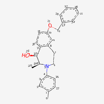 Cc1ccc(N2CCc3cc(OCc4ccccc4)ccc3[C@H](O)[C@@H]2C)cc1